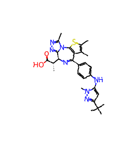 Cc1sc2c(c1C)C(c1ccc(Nc3cc(C(C)(C)C)nn3C)cc1)=NC([C@H](C)C(=O)O)c1nnc(C)n1-2